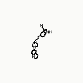 N#Cc1c[nH]c2ccc(CCCN3CCN(c4ccc5ncccc5c4)CC3)cc12